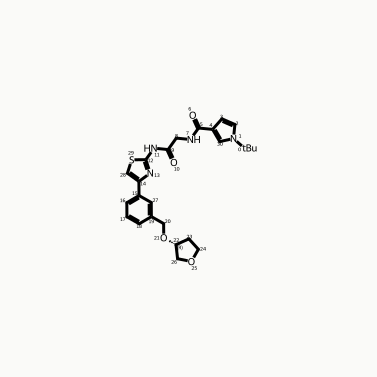 CC(C)(C)n1ccc(C(=O)NCC(=O)Nc2nc(-c3cccc(CO[C@@H]4CCOC4)c3)cs2)c1